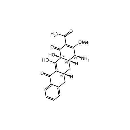 COC1=C(C(N)=O)C(=O)[C@@]2(O)C(O)=C3C(=O)c4ccccc4C[C@H]3C[C@H]2[C@@H]1N